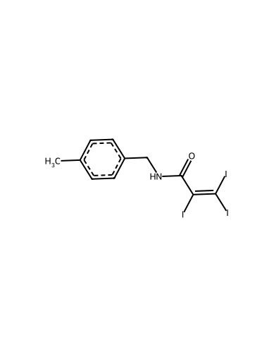 Cc1ccc(CNC(=O)C(I)=C(I)I)cc1